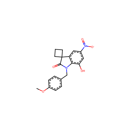 COc1ccc(CN2C(=O)C3(CCC3)c3cc([N+](=O)[O-])cc(O)c32)cc1